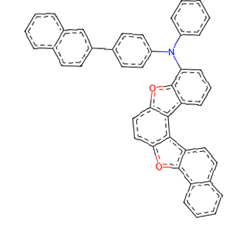 c1ccc(N(c2ccc(-c3ccc4ccccc4c3)cc2)c2cccc3c2oc2ccc4oc5c6ccccc6ccc5c4c23)cc1